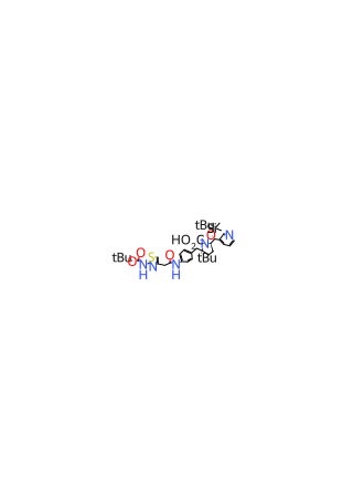 CC(C)(C)OC(=O)Nc1nc(CC(=O)Nc2ccc(C[C@]3(C(C)(C)C)CC[C@H]([C@H](O[Si](C)(C)C(C)(C)C)c4cccnc4)N3C(=O)O)cc2)cs1